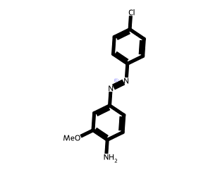 COc1cc(/N=N/c2ccc(Cl)cc2)ccc1N